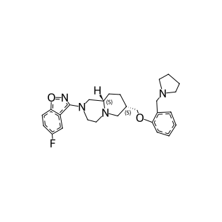 Fc1ccc2onc(N3CCN4C[C@@H](COc5ccccc5CN5CCCC5)CC[C@H]4C3)c2c1